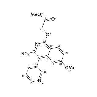 COC(=O)COc1nc(C#N)c(-c2cccnc2)c2cc(OC)ccc12